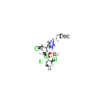 CCCCCCCCCCCCn1cc[n+](CC(OCc2c(Cl)cccc2Cl)c2ccc(Cl)cc2Cl)c1.[Br-]